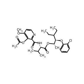 CCC(CC)[C@@H](Oc1ccccc1Cl)[C@H](C)OC(=O)[C@@H](NC(=O)c1nccc(OC)c1OC(C)=O)C(C)C